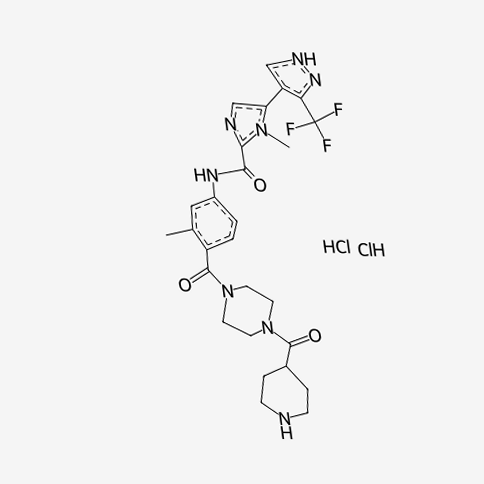 Cc1cc(NC(=O)c2ncc(-c3c[nH]nc3C(F)(F)F)n2C)ccc1C(=O)N1CCN(C(=O)C2CCNCC2)CC1.Cl.Cl